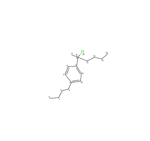 CCCCc1ccc([Si](C)(Cl)CCCC)cc1